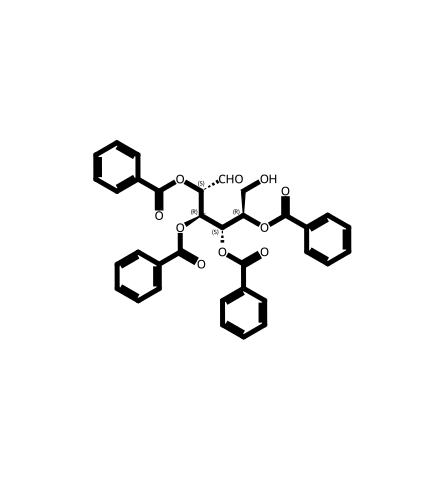 O=C[C@@H](OC(=O)c1ccccc1)[C@H](OC(=O)c1ccccc1)[C@@H](OC(=O)c1ccccc1)[C@@H](CO)OC(=O)c1ccccc1